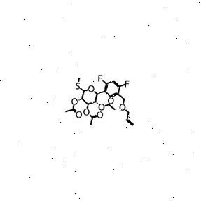 C=CCOCc1cc([C@@H]2O[C@H](SC)[C@@H](OC(C)=O)[C@H](OC(C)=O)[C@H]2OC(C)=O)c(F)cc1F